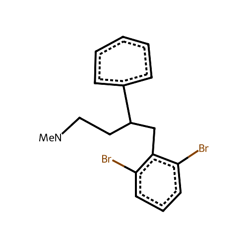 CNCCC(Cc1c(Br)cccc1Br)c1ccccc1